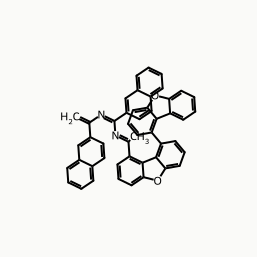 C=C(/N=C(\N=C(/C)c1cccc2oc3cccc(-c4cccc5oc6ccccc6c45)c3c12)c1ccc2ccccc2c1)c1ccc2ccccc2c1